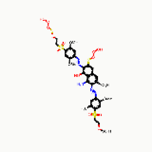 COc1cc(S(=O)(=O)CCOS(=O)(=O)O)c(C)cc1/N=N/c1c(S(=O)(=O)O)cc2cc(SOOO)c(/N=N/c3cc(OC)c(S(=O)(=O)CCOSOOO)cc3OC)c(O)c2c1N